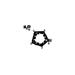 O.c1cc[nH]c1